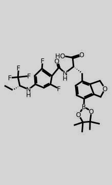 CC[C@@H](Nc1cc(F)c(C(=O)N[C@@H](Cc2ccc(B3OC(C)(C)C(C)(C)O3)c3c2COC3)C(=O)O)c(F)c1)C(F)(F)F